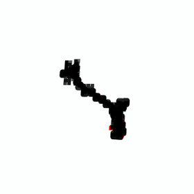 CC[C@H](C(=O)N1CCCC[C@H]1C(=O)O[C@@H](CCc1ccc(OC)c(OC)c1)c1ccccc1OCC(=O)NCCOCCOCCOCCOCCC(=O)NCCOc1ccc(-n2cc(C3NC(=O)NC3=O)c(-c3ccc(F)cc3)n2)cc1)c1cc(OC)c(OC)c(OC)c1